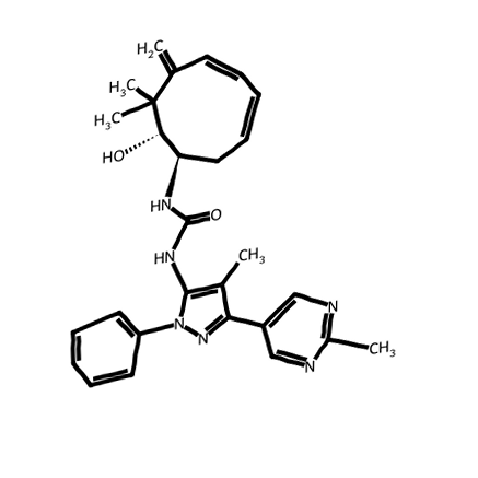 C=C1/C=C\C=C/C[C@@H](NC(=O)Nc2c(C)c(-c3cnc(C)nc3)nn2-c2ccccc2)[C@H](O)C1(C)C